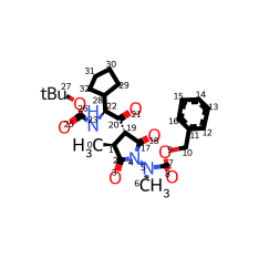 C[C@@H]1C(=O)N(N(C)C(=O)OCc2ccccc2)C(=O)[C@H]1C(=O)[C@@H](NC(=O)OC(C)(C)C)C1CCCC1